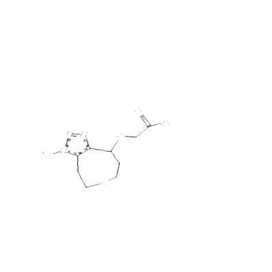 CCn1nnc2c1CCCCCC2OCC(=O)C(C)C